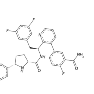 NC(=O)c1cc(-c2cccnc2[C@H](Cc2cc(F)cc(F)c2)NC(=O)[C@H]2CC[C@@H](c3ccccc3)N2)ccc1F